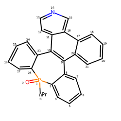 CCCP1(=O)c2ccccc2-c2c(c3ccncc3c3ccccc23)-c2ccccc21